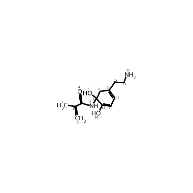 C=C(C)C(=O)NC1(O)CC(CCN)=CC=C1O